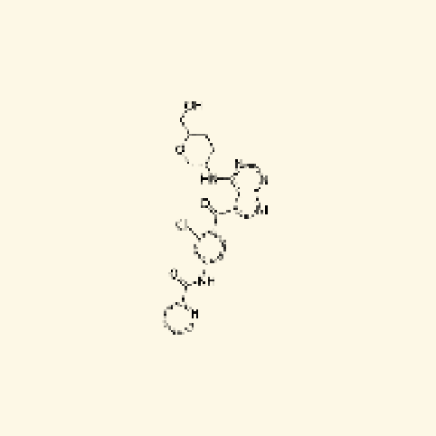 O=C(Nc1ccc(C(=O)c2c[nH]c3ncnc(NC4CCC(CO)OC4)c23)c(Cl)c1)c1ccccn1